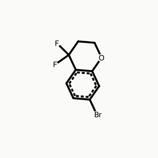 FC1(F)CCOc2cc(Br)ccc21